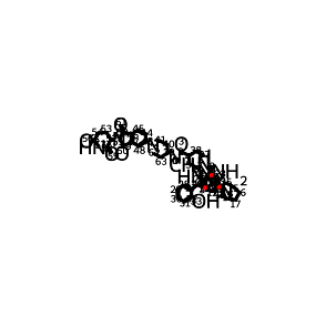 CN(C(=O)C1CCN(Cc2cccc(N3C4CCC3CN(C3=C(N)NNC(c5ccccc5O)=C3)C4)c2)CC1)C1CCN(c2ccc3c(c2)C(=O)N(C2CCC(=O)NC2=O)C3=O)CC1